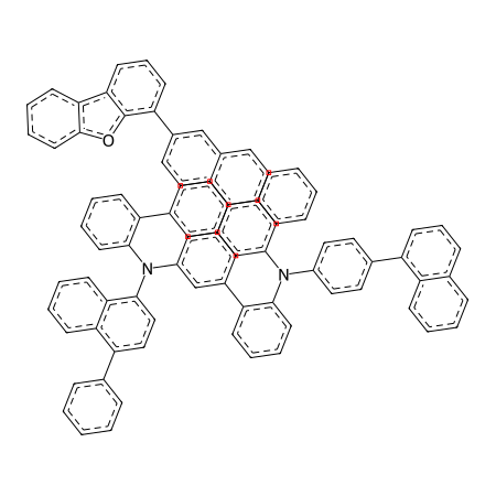 c1ccc(-c2ccc(-c3ccccc3N(c3cccc(-c4ccccc4N(c4ccc(-c5cccc6ccccc56)cc4)c4ccc5c(ccc6cc(-c7cccc8c7oc7ccccc78)ccc65)c4)c3)c3ccc(-c4ccccc4)c4ccccc34)cc2)cc1